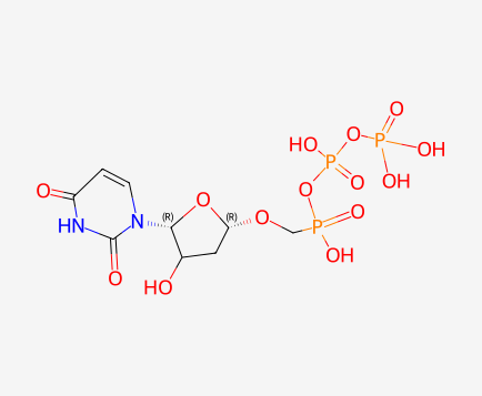 O=c1ccn([C@@H]2O[C@H](OCP(=O)(O)OP(=O)(O)OP(=O)(O)O)CC2O)c(=O)[nH]1